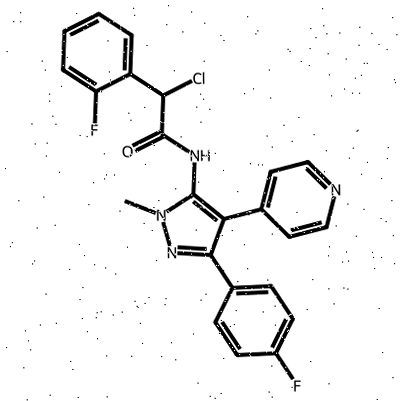 Cn1nc(-c2ccc(F)cc2)c(-c2ccncc2)c1NC(=O)C(Cl)c1ccccc1F